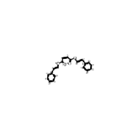 O=C(/C=C\C(=O)OC=Cc1ccccc1)OC=Cc1ccccc1